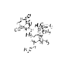 CCc1cc(NCc2nc3c(Cl)ccc(Cl)c3o2)c(SC(C)(C)C)nc1C